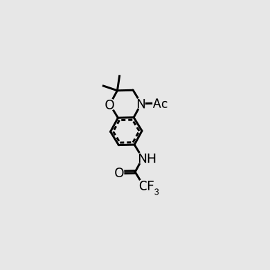 CC(=O)N1CC(C)(C)Oc2ccc(NC(=O)C(F)(F)F)cc21